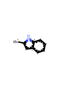 CC(C)(C)c1cc2[c]cccc2[nH]1